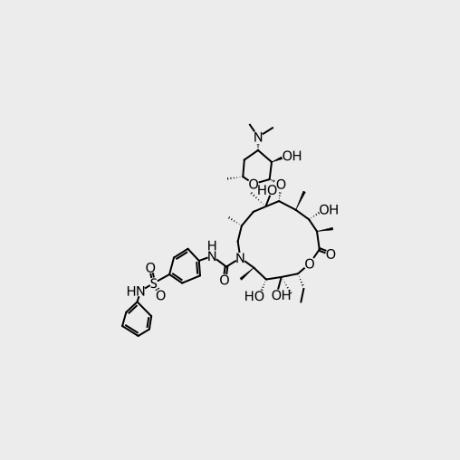 CC[C@H]1OC(=O)[C@H](C)[C@@H](O)[C@H](C)[C@@H](O[C@@H]2O[C@H](C)C[C@H](N(C)C)[C@H]2O)[C@](C)(O)C[C@@H](C)CN(C(=O)Nc2ccc(S(=O)(=O)Nc3ccccc3)cc2)[C@H](C)[C@@H](O)[C@]1(C)O